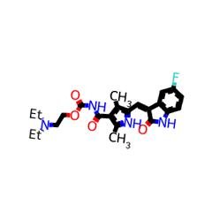 CCN(CC)CCOC(=O)NC(=O)c1c(C)[nH]c(C=C2C(=O)Nc3ccc(F)cc32)c1C